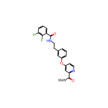 CNC(=O)c1cc(Oc2cccc(CCNC(=O)c3cccc(F)c3F)c2)ccn1